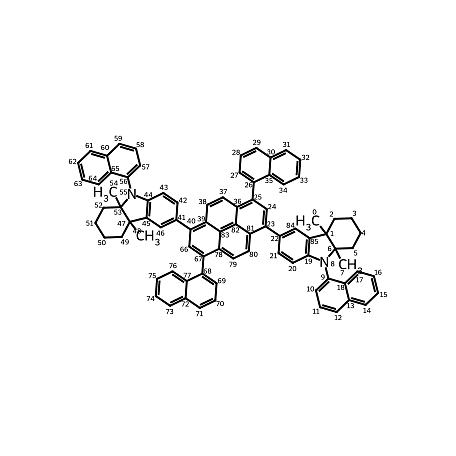 CC12CCCCC1(C)N(c1cccc3ccccc13)c1ccc(-c3cc(-c4cccc5ccccc45)c4ccc5c(-c6ccc7c(c6)C6(C)CCCCC6(C)N7c6cccc7ccccc67)cc(-c6cccc7ccccc67)c6ccc3c4c56)cc12